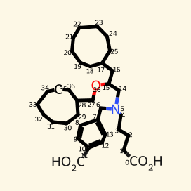 O=C(O)CCCCN(Cc1ccc(C(=O)O)cc1)CC(CC1CCCCCCCC1)OCC1CCCCCCCC1